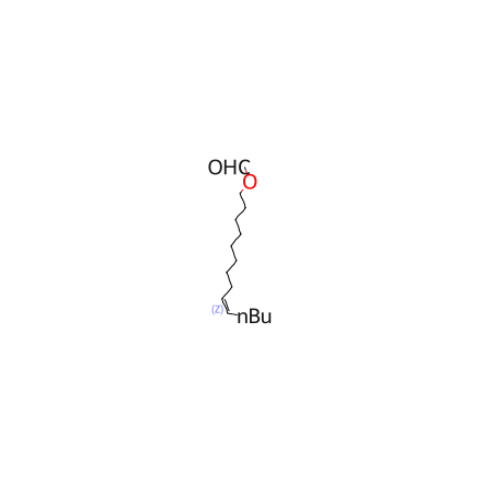 CCCC/C=C\CCCCCCCCOC=O